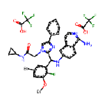 CCOc1cc(CC)cc(C(Nc2ccc3c(N)nccc3c2)c2nc(-c3ccccc3)cn2CC(=O)NC2CC2)c1F.O=C(O)C(F)(F)F.O=C(O)C(F)(F)F